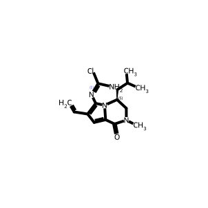 C=Cc1cc2n(c1/N=C(\N)Cl)[C@@H](CC(C)C)CN(C)C2=O